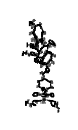 CC(C)S(=O)(=O)N1CCC(COc2ccc3c(c2)C(C)(C)c2[nH]c4cc(Br)ccc4c2C3=O)CC1